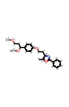 CCCOC(CCOCC)c1ccc(OCCc2nc(-c3ccccc3)oc2C)cc1